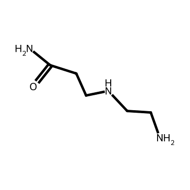 NCCNCCC(N)=O